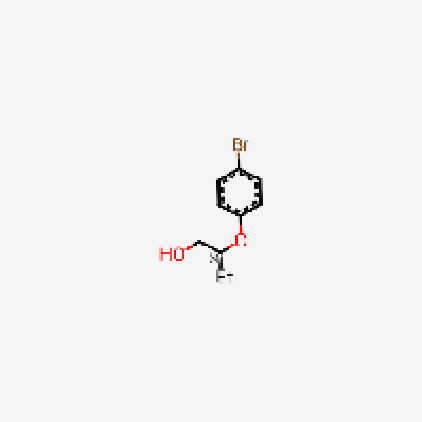 CC[C@@H](CO)Oc1ccc(Br)cc1